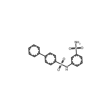 NS(=O)(=O)c1cccc(NS(=O)(=O)c2ccc(-c3ccccc3)cc2)c1